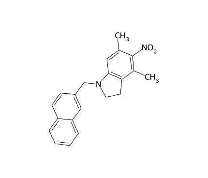 Cc1cc2c(c(C)c1[N+](=O)[O-])CCN2Cc1ccc2ccccc2c1